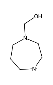 OCN1CCC[N]CC1